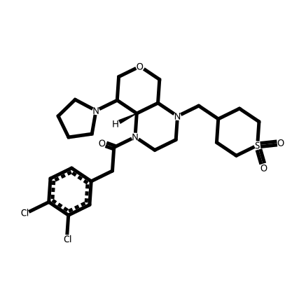 O=C(Cc1ccc(Cl)c(Cl)c1)N1CCN(CC2CCS(=O)(=O)CC2)C2COCC(N3CCCC3)[C@H]21